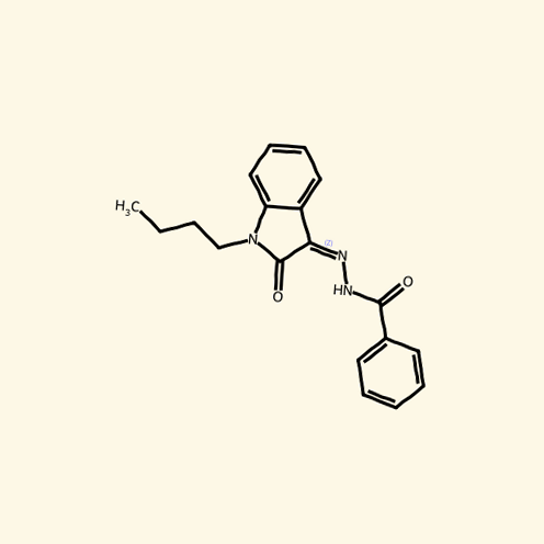 CCCCN1C(=O)/C(=N\NC(=O)c2ccccc2)c2ccccc21